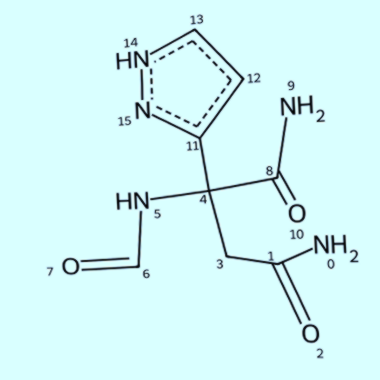 NC(=O)CC(NC=O)(C(N)=O)c1cc[nH]n1